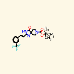 CC(C)(C)OC(=O)N1CCC2(CC1)N=C(C=Cc1cccc(C(F)(F)F)c1)NC2=O